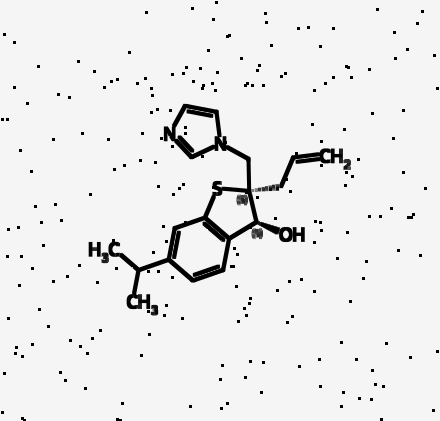 C=CC[C@@]1(Cn2ccnc2)Sc2cc(C(C)C)ccc2[C@@H]1O